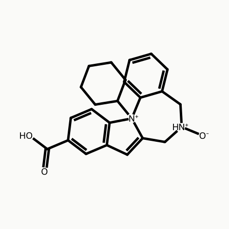 O=C(O)c1ccc2c(c1)C=C1C[NH+]([O-])Cc3ccccc3[N+]12C1CCCCC1